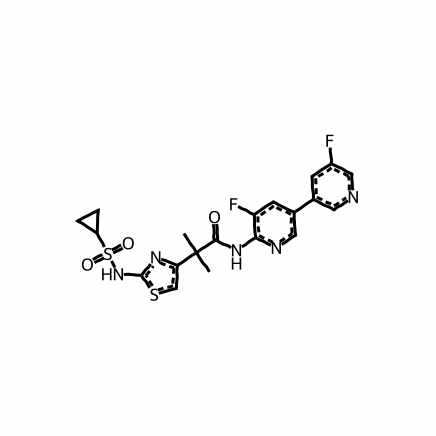 CC(C)(C(=O)Nc1ncc(-c2cncc(F)c2)cc1F)c1csc(NS(=O)(=O)C2CC2)n1